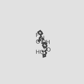 CC1(C)CN(C(=O)[C@H](CO)CC2CCC2)CCC1(O)Cn1cnc(-c2ccccc2F)cc1=O